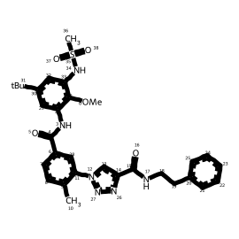 COc1c(NC(=O)c2ccc(C)c(-n3cc(C(=O)NCCc4ccccc4)nn3)c2)cc(C(C)(C)C)cc1NS(C)(=O)=O